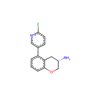 N[C@@H]1COc2cccc(-c3ccc(F)nc3)c2C1